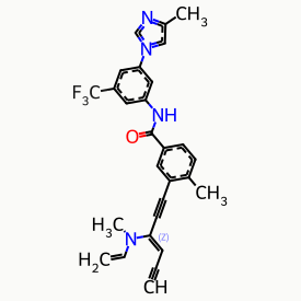 C#C/C=C(/C#Cc1cc(C(=O)Nc2cc(-n3cnc(C)c3)cc(C(F)(F)F)c2)ccc1C)N(C)C=C